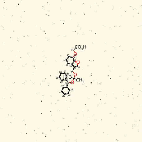 CC(C)(OCc1coc2c(OCC(=O)O)cccc12)OC(c1ccccc1)c1ccccc1